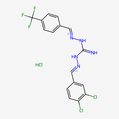 Cl.N=C(N/N=C/c1ccc(C(F)(F)F)cc1)N/N=C/c1ccc(Cl)c(Cl)c1